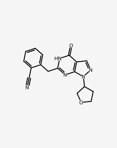 N#Cc1ccccc1Cc1nc2c(cnn2C2CCOC2)c(=O)[nH]1